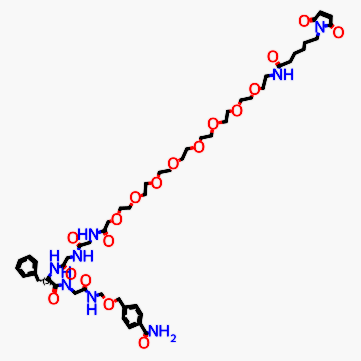 NC(=O)c1ccc(COCNC(=O)CNC(=O)[C@H](Cc2ccccc2)NC(=O)CNC(=O)CNC(=O)COCCOCCOCCOCCOCCOCCOCCOCCNC(=O)CCCCCN2C(=O)C=CC2=O)cc1